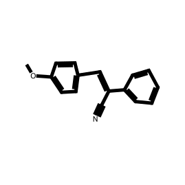 COc1ccc(/C=C(\C#N)c2ccccc2)cc1